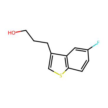 OCCCc1csc2ccc(F)cc12